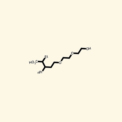 CCCC(CCOCCOCCO)C(CC)C(=O)O